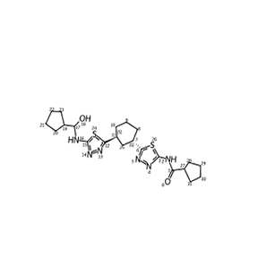 O=C(Nc1nnc([C@H]2CCC[C@H](c3nnc(NC(O)C4CCCC4)s3)C2)s1)C1CCCC1